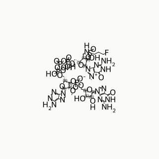 CO[C@@H]1[C@H](OP(=O)([O-])OC[C@H]2O[C@@H](n3cnc4c(=O)[nH]c(N)nc43)[C@H](O)[C@@H]2O)[C@@H](COP(=O)(O)OP(=O)(O)OP(=O)(O)OC[C@H]2O[C@@H](n3c[n+](C)c4c(=O)[nH]c(N)nc43)[C@H](O)[C@@H]2CNS(=O)(=O)CCCF)O[C@H]1n1cnc2c(N)ncnc21